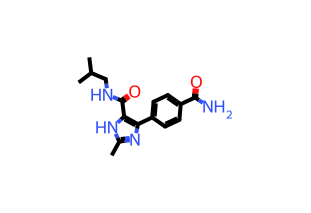 Cc1nc(-c2ccc(C(N)=O)cc2)c(C(=O)NCC(C)C)[nH]1